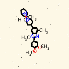 COc1ccc(-c2nc3c(C)cc(C4CCN(C5CC6CCC(C5)N6C(C)C)CC4)cc3n2C)cc1OC